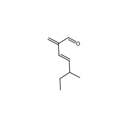 C=C(C=O)C=CC(C)CC